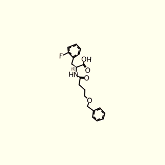 O=C(CCCOCc1ccccc1)N[C@@H](Cc1ccccc1F)C(=O)O